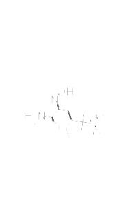 CC/C(=C\C(=N/O)C(N)=O)C(C)(C)[N+](=O)[O-]